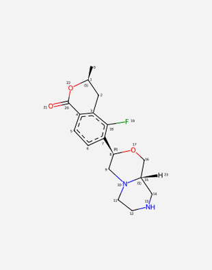 C[C@H]1Cc2c(ccc([C@@H]3CN4CCNC[C@H]4CO3)c2F)C(=O)O1